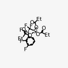 CCC(=O)O[Si](OC(=O)CC)(OC(=O)CC)C(F)(F)N(F)c1cccc(F)c1F